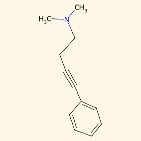 CN(C)CCC#Cc1ccccc1